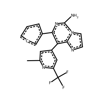 Cc1cc(-c2c(-c3ccccc3)nc(N)n3ccnc23)cc(C(F)(F)F)n1